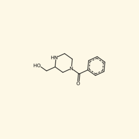 O=C(c1ccccc1)N1CCNC(CO)C1